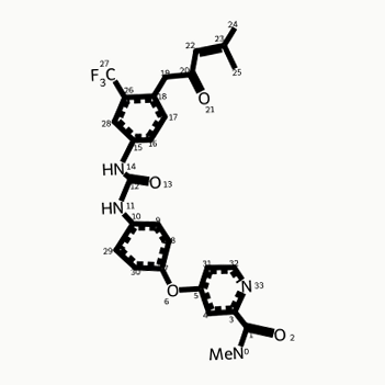 CNC(=O)c1cc(Oc2ccc(NC(=O)Nc3ccc(CC(=O)C=C(C)C)c(C(F)(F)F)c3)cc2)ccn1